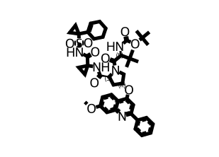 COc1ccc2c(O[C@@H]3C[C@@H](C(=O)NC4(C(=O)NS(=O)(=O)C5(C6=CCCCC6)CC5)CC4)N(C(=O)[C@@H](NC(=O)OC(C)(C)C)C(C)(C)C)C3)cc(-c3ccccc3)nc2c1